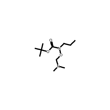 CCCN(OCN(C)C)C(=O)OC(C)(C)C